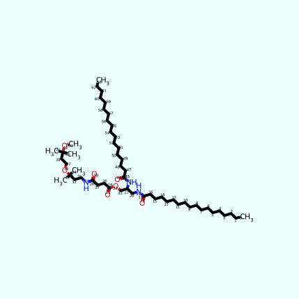 CCCCCCCCCCCCCCCCCC(=O)NCC(COC(=O)CCC(=O)NCCC(C)(C)OCCC(C)(C)OC)NC(=O)CCCCCCCCCCCCCCCCC